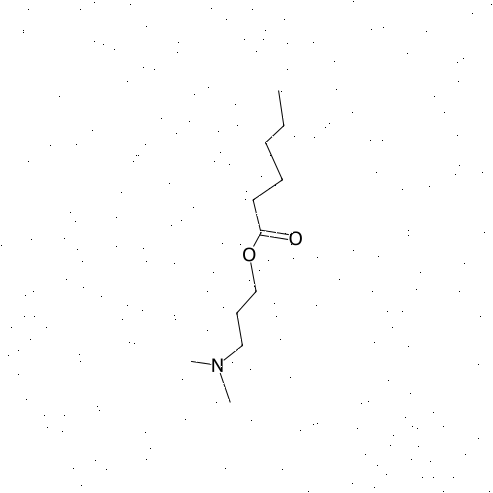 CCCCCC(=O)OCCCN(C)C